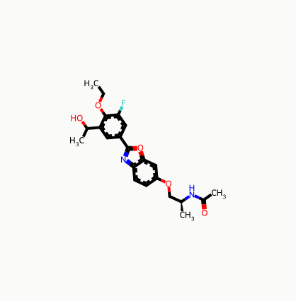 CCOc1c(F)cc(-c2nc3ccc(OC[C@H](C)NC(C)=O)cc3o2)cc1C(C)O